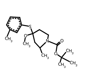 COC1(Sc2cccc(C)c2)CCN(C(=O)OC(C)(C)C)C(C)C1